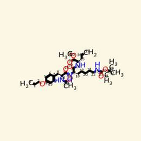 C=CCOc1ccc(C[C@H](NC(C)=O)C(=O)N[C@@H](CCCCCNC(=O)OC(C)(C)C)C(=O)N[C@@H](CC=C)C(=O)OC)cc1